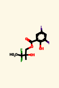 CC(O)(COC(=O)c1cc(I)cc(I)c1O)C(F)(F)C(=O)O